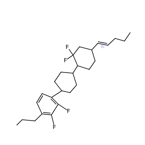 CCC/C=C/C1CCC(C2CCC(c3ccc(CCC)c(F)c3F)CC2)C(F)(F)C1